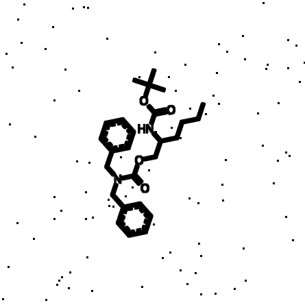 CCCCC(COC(=O)N(Cc1ccccc1)Cc1ccccc1)NC(=O)OC(C)(C)C